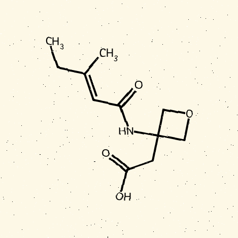 CC/C(C)=C/C(=O)NC1(CC(=O)O)COC1